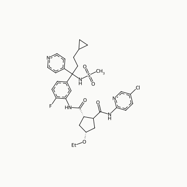 CCO[C@H]1CC(C(=O)Nc2ccc(Cl)cn2)[C@@H](C(=O)Nc2cc(C(CCC3CC3)(NS(C)(=O)=O)c3ccncc3)ccc2F)C1